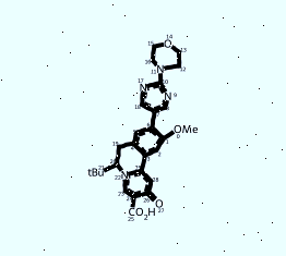 COc1cc2c(cc1-c1cnc(N3CCOCC3)nc1)CC(C(C)(C)C)n1cc(C(=O)O)c(=O)cc1-2